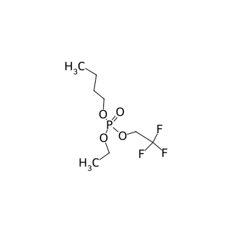 CCCCOP(=O)(OCC)OCC(F)(F)F